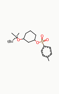 Cc1ccc(S(=O)(=O)OC2CCCC(O[Si](C)(C)C(C)(C)C)C2)cc1